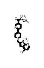 CN(C)C(=O)c1ccc(C2=CCN(Cc3cc4c(Br)ccnc4n3C)CC2)nc1